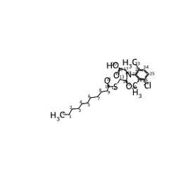 CCCCCCCCCCC(=O)SCC(=O)N(CC(=O)O)c1c(C)ccc(Cl)c1C